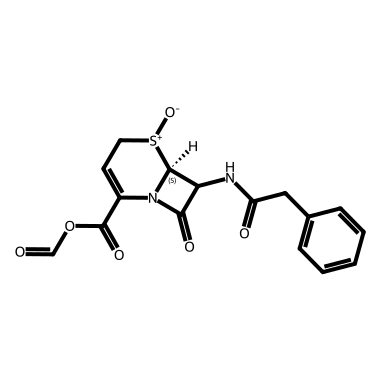 O=COC(=O)C1=CC[S+]([O-])[C@H]2C(NC(=O)Cc3ccccc3)C(=O)N12